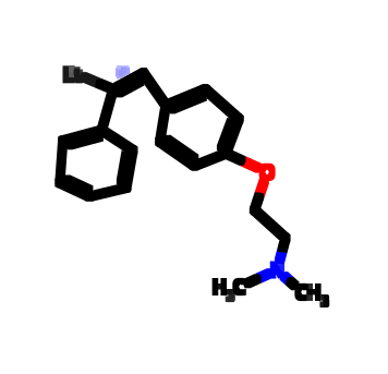 CC/C(=C/c1ccc(OCCN(C)C)cc1)c1ccccc1